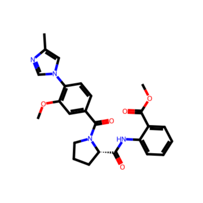 COC(=O)c1ccccc1NC(=O)[C@@H]1CCCN1C(=O)c1ccc(-n2cnc(C)c2)c(OC)c1